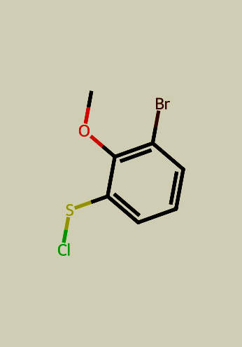 COc1c(Br)cccc1SCl